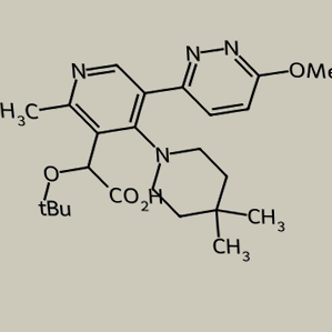 COc1ccc(-c2cnc(C)c(C(OC(C)(C)C)C(=O)O)c2N2CCC(C)(C)CC2)nn1